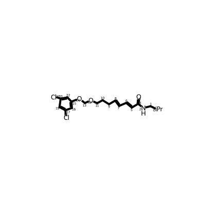 CC(C)CNC(=O)/C=C/C=C/CCCOCOc1cc(Cl)cc(Cl)c1